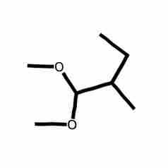 CCC(C)C(OC)OC